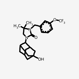 CC1(C)CN(C2C3CC4CC2CC(O)(C4)C3)C(=O)N1Cc1cccc(OC(F)(F)F)c1